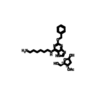 CC(=O)O[C@H]1CC(O)O[C@@H]1CO.NCCCCCCNc1nc(OCc2ccccc2)nc2nc[nH]c12